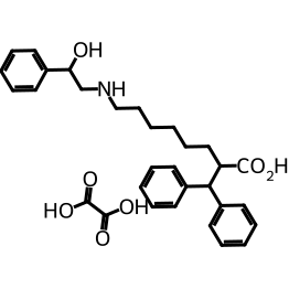 O=C(O)C(=O)O.O=C(O)C(CCCCCCNCC(O)c1ccccc1)C(c1ccccc1)c1ccccc1